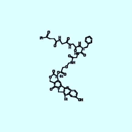 CCc1c2c(nc3ccc(O)cc13)-c1cc3c(c(=O)n1C2)COC(=O)[C@@]3(CC)OC(=O)COCNC(=O)CNC(=O)[C@H](Cc1ccccc1)NC(=O)CNC(=O)CNC(=O)CCC(=O)C(C)C